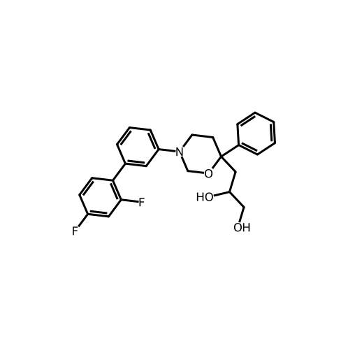 OCC(O)CC1(c2ccccc2)CCN(c2cccc(-c3ccc(F)cc3F)c2)CO1